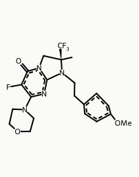 COc1ccc(CCN2c3nc(N4CCOCC4)c(F)c(=O)n3C[C@@]2(C)C(F)(F)F)cc1